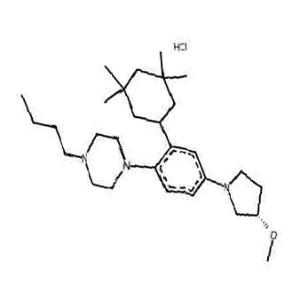 CCCCN1CCN(c2ccc(N3CC[C@H](OC)C3)cc2C2CC(C)(C)CC(C)(C)C2)CC1.Cl